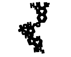 CC1(C)O[C@@H]2[C@@H](COc3ccc4cc(Br)c(N)nc4c3)C[C@@H](n3ccc4c(N)ncnc43)[C@@H]2O1